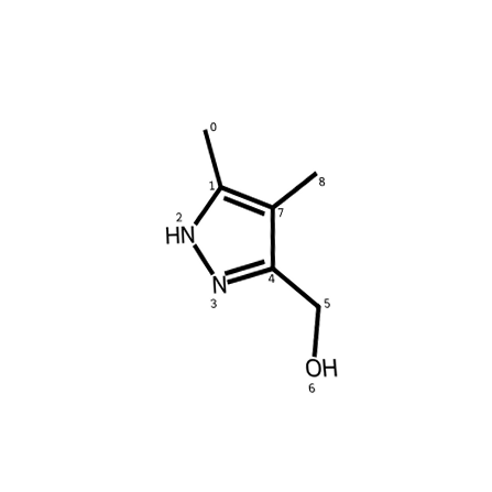 Cc1[nH]nc(CO)c1C